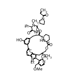 C=CC(=O)N1CC[C@H](C(=O)N(C)C(C(=O)N[C@H]2Cc3cc(O)cc(c3)-c3ccc4c(c3)c(c(-c3cnccc3COC)n4CC)CC(C)(C)COC(=O)[C@@H]3CCCN(N3)C2=O)C(C)C)C1